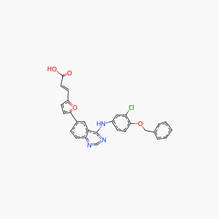 O=C(O)/C=C/c1ccc(-c2ccc3ncnc(Nc4ccc(OCc5ccccc5)c(Cl)c4)c3c2)o1